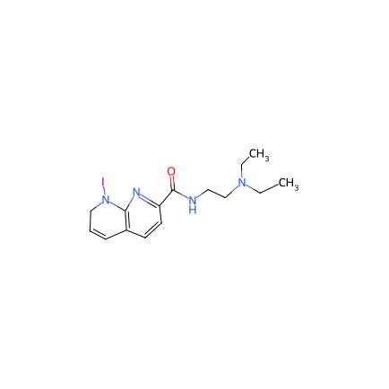 CCN(CC)CCNC(=O)c1ccc2c(n1)N(I)CC=C2